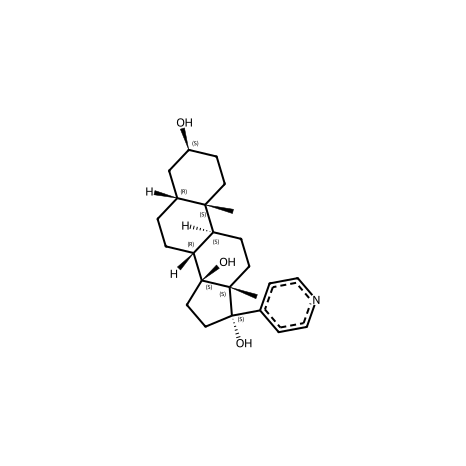 C[C@]12CC[C@H](O)C[C@H]1CC[C@@H]1[C@@H]2CC[C@]2(C)[C@@](O)(c3ccncc3)CC[C@]12O